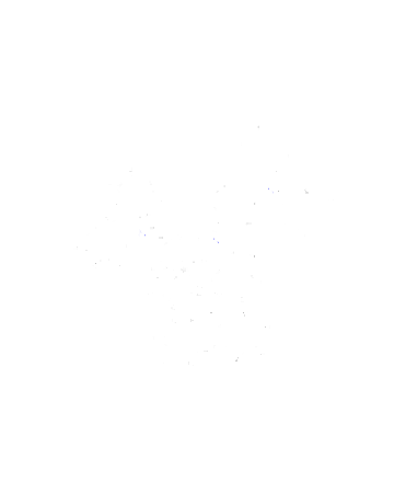 c1ccc(-n2c3ccccc3c3ccc(-n4c5cc(-n6c7ccccc7c7ccccc76)ccc5c5c([Si](c6ccccc6)(c6ccccc6)c6ccccc6)cccc54)cc32)cc1